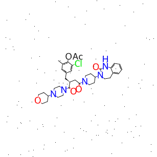 CC(=O)Oc1c(C)cc(C[C@@H](CC(=O)N2CCC(N3CCc4ccccc4NC3=O)CC2)C(=O)N2CCN(C3CCOCC3)CC2)cc1Cl